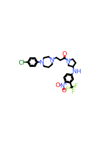 O=C(CCN1CCCN(c2ccc(Cl)cc2)CC1)N1CCC(Nc2ccc([N+](=O)[O-])c(C(F)(F)F)c2)C1